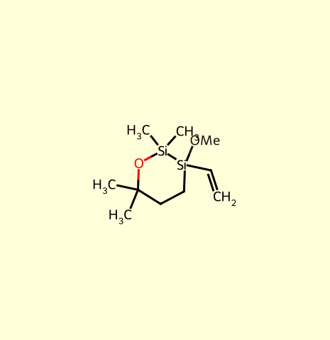 C=C[Si]1(OC)CCC(C)(C)O[Si]1(C)C